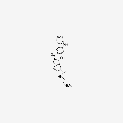 CNCCNC(=O)c1ccc2c(c1)CN(C(=O)c1cc3c(COC)n[nH]c3cc1O)C2